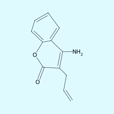 C=CCc1c(N)c2ccccc2oc1=O